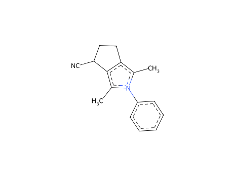 Cc1c2c(c(C)n1-c1ccccc1)C(C#N)CC2